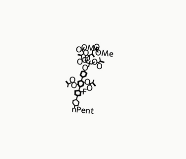 C=C(C)C(=O)OCC(COC(=O)C(=C)CC(=O)OC)(COC(=O)C(=C)CC(=O)OC)COc1ccc(-c2cc(OC(=O)C(=C)C)c(-c3ccc(C4CCC(CCCCC)CC4)cc3F)cc2OC(=O)C(=C)C)cc1